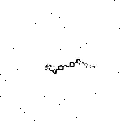 CCCCCCCCCCOCCc1ccc(-c2ccc(/C=C/c3ccc(-c4ccc(CCOCCCCCCCCCC)s4)cc3)cc2)s1